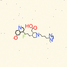 COc1ccc2nccc(C(F)CC[C@@H]3CCN(CCCCc4nccn4C)C[C@@H]3CC(=O)O)c2c1